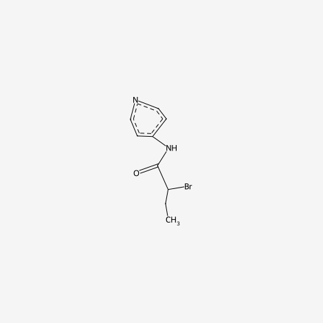 CCC(Br)C(=O)Nc1ccncc1